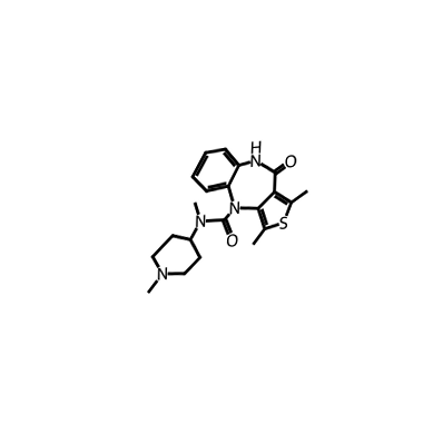 Cc1sc(C)c2c1C(=O)Nc1ccccc1N2C(=O)N(C)C1CCN(C)CC1